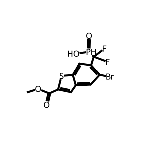 COC(=O)c1cc2cc(Br)c(C(F)(F)[PH](=O)O)cc2s1